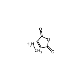 CN.O=C1C=CC(=O)O1